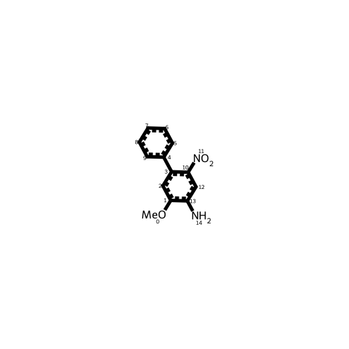 COc1cc(-c2ccccc2)c([N+](=O)[O-])cc1N